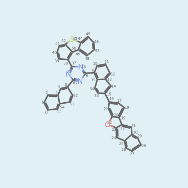 c1ccc2cc(-c3nc(-c4cccc5cc(-c6ccc7c(c6)oc6cc8ccccc8cc67)ccc45)nc(-c4cccc5sc6ccccc6c45)n3)ccc2c1